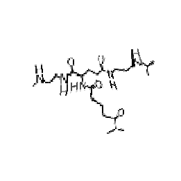 CNCCNC(=O)C(CCC(=O)NCCNC(C)C)NC(=O)CCCC(=O)C(C)C